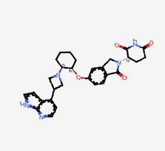 O=C1CC[C@H](N2Cc3cc(O[C@@H]4CCCC[C@@H]4N4CC(c5ccnc6[nH]ccc56)C4)ccc3C2=O)C(=O)N1